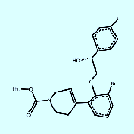 CC(C)(C)OC(=O)N1CC=C(c2cccc(Br)c2OC[C@H](O)c2ccc(Cl)cc2)CC1